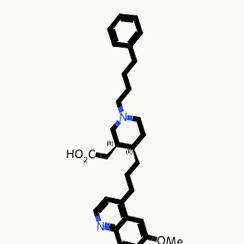 COc1ccc2nccc(CCC[C@@H]3CCN(CCCCc4ccccc4)C[C@@H]3CC(=O)O)c2c1